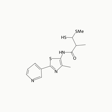 CSC(S)C(C)C(=O)Nc1sc(-c2cccnc2)nc1C